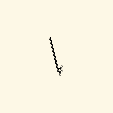 CCCCCCCCCCCCC=CCCC1CC(=O)[N]C1=O